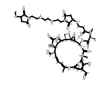 CSC1CC(=O)N(CCOCCOCCN2C(=O)CC(SCCC(=O)N(C)[C@@H](C)C(=O)O[C@H]3CC(=O)N(C)c4cc(cc(C=O)c4Cl)C/C(C)=C/C=C/[C@@H](C=O)[C@@]4(O)C[C@H](OC(=O)N4)[C@@H](C)[C@@H]4O[C@@]34C)C2=O)C1=O